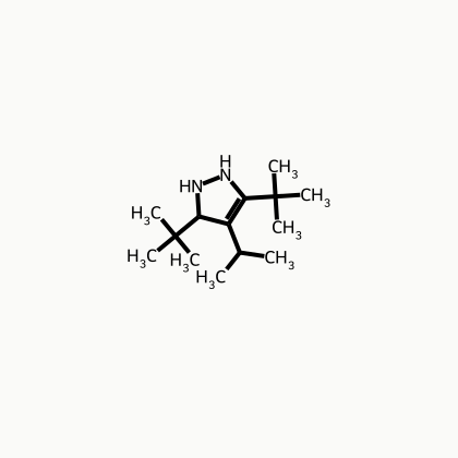 CC(C)C1=C(C(C)(C)C)NNC1C(C)(C)C